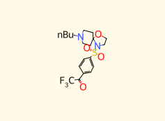 CCCCN1CCC2(CC1)OCCN2S(=O)(=O)c1ccc(C(=O)C(F)(F)F)cc1